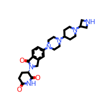 O=C1CC[C@H](N2Cc3cc(N4CCN(C5CCN(C6CNC6)CC5)CC4)ccc3C2=O)C(=O)N1